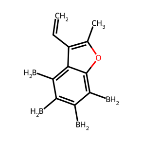 Bc1c(B)c(B)c2c(C=C)c(C)oc2c1B